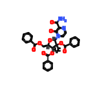 CC1(OC(=O)c2ccccc2)C(OC(=O)c2ccccc2)[C@@H](COC(=O)c2ccccc2)O[C@H]1n1ccnc(C(N)=O)c1=O